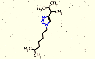 CC(C)CCCCCn1cc(C(C)C(C)C)nn1